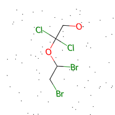 [O]CC(Cl)(Cl)OC(Br)CBr